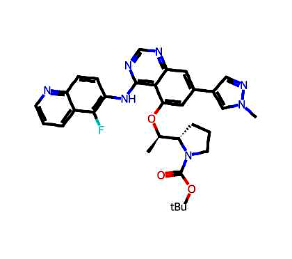 C[C@@H](Oc1cc(-c2cnn(C)c2)cc2ncnc(Nc3ccc4ncccc4c3F)c12)[C@@H]1CCCN1C(=O)OC(C)(C)C